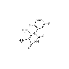 Nc1c(N)n(-c2cc(F)ccc2F)c(=S)[nH]c1=O